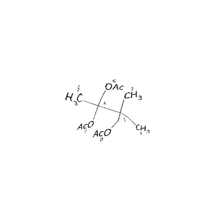 CC(=O)OC(C)(C)C(C)(OC(C)=O)OC(C)=O